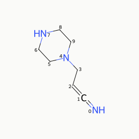 N=C=CCN1CCNCC1